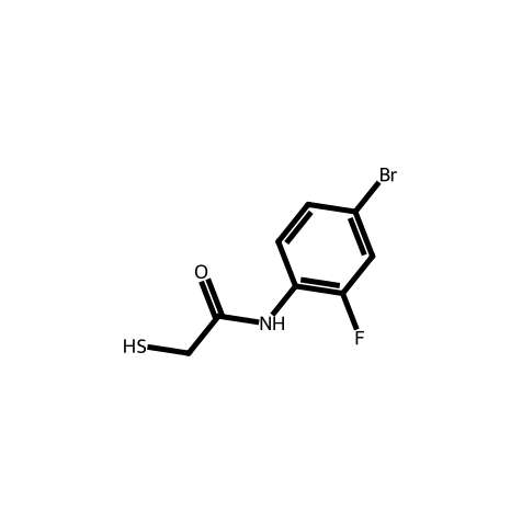 O=C(CS)Nc1ccc(Br)cc1F